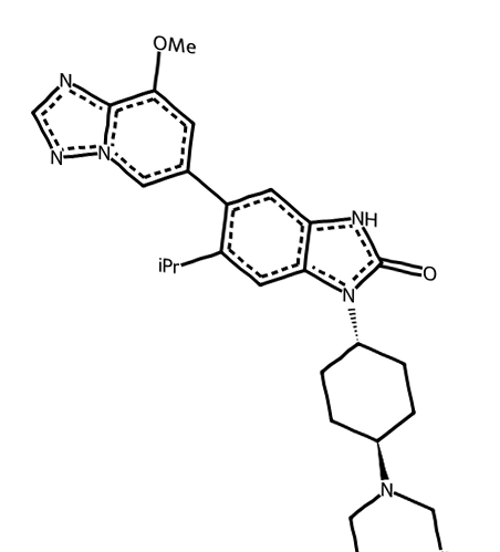 COc1cc(-c2cc3[nH]c(=O)n([C@H]4CC[C@H](N(CC(C)C)CC(C)C)CC4)c3cc2C(C)C)cn2ncnc12